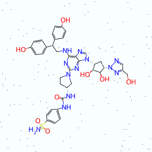 NS(=O)(=O)c1ccc(NC(=O)N[C@@H]2CCN(c3nc(NCC(c4ccc(O)cc4)c4ccc(O)cc4)c4ncn([C@@H]5C[C@H](n6ncc(CO)n6)[C@@H](O)[C@H]5O)c4n3)C2)cc1